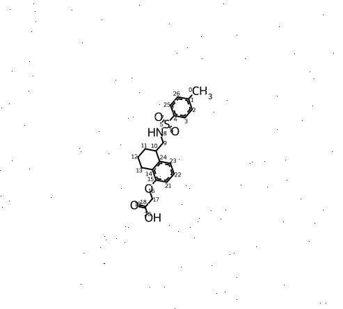 Cc1ccc(S(=O)(=O)NCC2CCCc3c(OCC(=O)O)cccc32)cc1